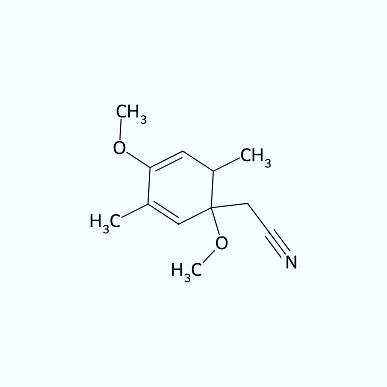 COC1=CC(C)C(CC#N)(OC)C=C1C